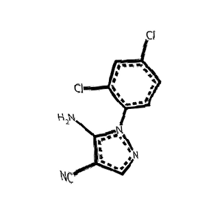 N#Cc1cnn(-c2ccc(Cl)cc2Cl)c1N